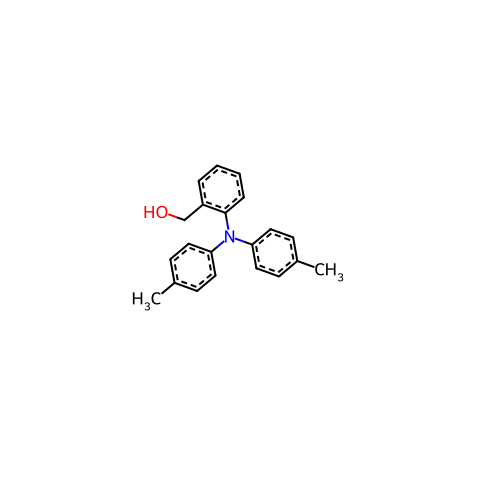 Cc1ccc(N(c2ccc(C)cc2)c2ccccc2CO)cc1